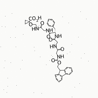 O=C(CNC(=O)OCC1c2ccccc2-c2ccccc21)NCC(=O)N[C@@H](Cc1ccccc1)C(=O)NCC(=O)NCOC1(C(=O)O)CC1